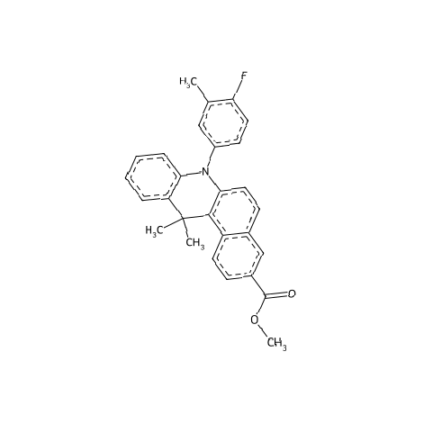 COC(=O)c1ccc2c3c(ccc2c1)N(c1ccc(F)c(C)c1)c1ccccc1C3(C)C